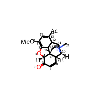 COC1=C2O[C@H]3C(=O)C=C[C@H]4[C@H]5CC(C(C(C)=O)=C1)C2[C@@]34CCN5C